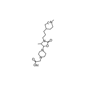 CC1C(N2CCN(CC(=O)O)CC2)OC(=O)N1CCCC1CCN(C)CC1